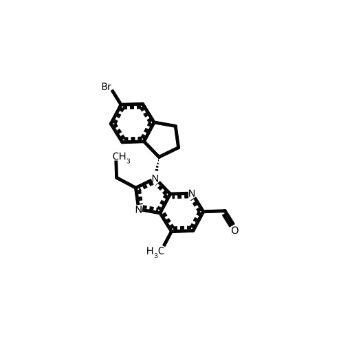 CCc1nc2c(C)cc(C=O)nc2n1[C@H]1CCc2cc(Br)ccc21